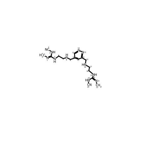 CN=C(NC#N)NCCNCc1cnnc(CNCCNC(=NC)NC#N)c1